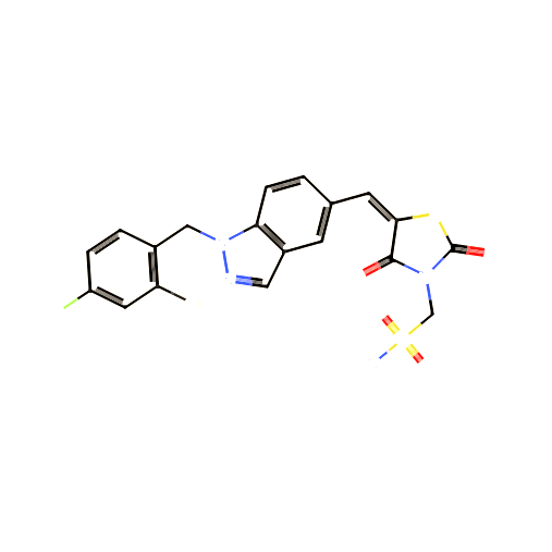 NS(=O)(=O)CN1C(=O)SC(=Cc2ccc3c(cnn3Cc3ccc(F)cc3C(F)(F)F)c2)C1=O